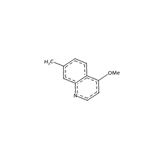 COc1ccnc2cc(C)ccc12